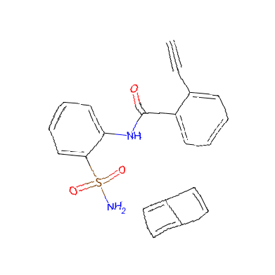 C#Cc1ccccc1C(=O)Nc1ccccc1S(N)(=O)=O.c1cc2ccc1-2